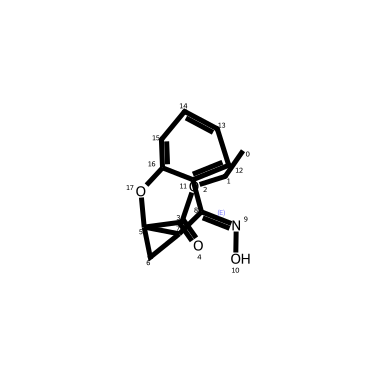 CCOC(=O)C12CC1/C(=N\O)c1ccccc1O2